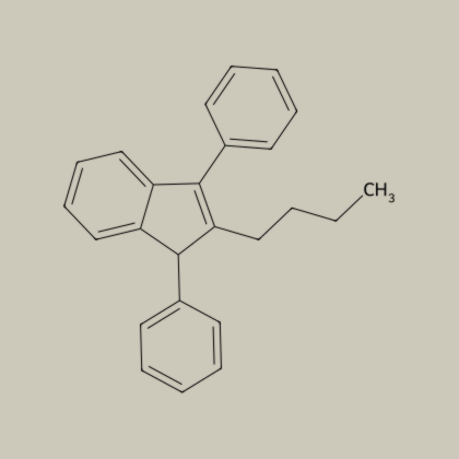 CCCCC1=C(c2ccccc2)c2ccccc2C1c1ccccc1